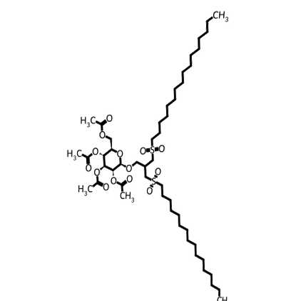 CCCCCCCCCCCCCCCCS(=O)(=O)CC(CO[C@@H]1O[C@H](COC(C)=O)[C@@H](OC(C)=O)[C@H](OC(C)=O)[C@H]1OC(C)=O)CS(=O)(=O)CCCCCCCCCCCCCCCC